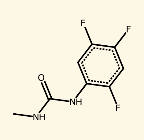 CNC(=O)Nc1cc(F)c(F)cc1F